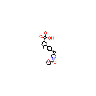 Cc1ccc(-c2c(O)c(=O)c2=O)cc1-c1ccc([C@H]2CC23CCN(C(=O)[C@H]2CCCO2)CC3)cc1